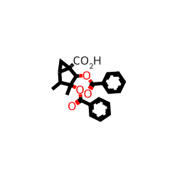 CC1C2CC2(C(=O)O)C(OC(=O)c2ccccc2)C1(C)OC(=O)c1ccccc1